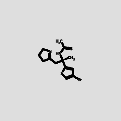 CC(=S)N[C@@](C)(CC1=NCCC1)c1cc(Br)cs1